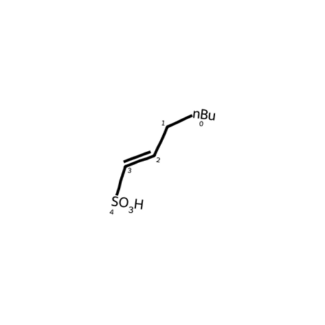 CCCCC/C=C/S(=O)(=O)O